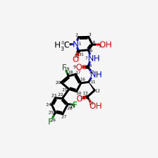 Cn1ccc(O)c(NC(=O)N[C@@H](CC(=O)O)c2cc(F)cc(-c3ccc(F)cc3F)c2)c1=O